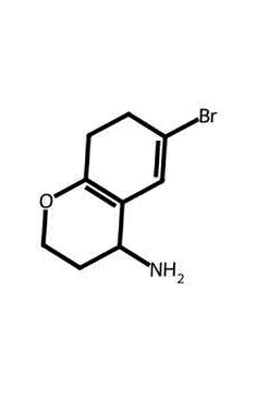 NC1CCOC2=C1C=C(Br)CC2